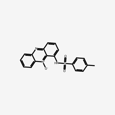 Cc1ccc(S(=O)(=O)Nc2cccc3nc4ccccc4[n+]([O-])c23)cc1